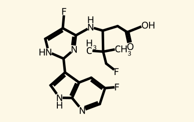 CC(C)(CF)C(CC(=O)O)NC1=NC(c2c[nH]c3ncc(F)cc23)NC=C1F